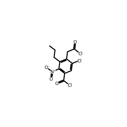 CCCc1c(CC(=O)Cl)c(Cl)cc(C(=O)Cl)c1[N+](=O)[O-]